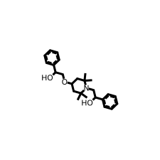 CC1(C)CC(OCC(O)c2ccccc2)CC(C)(C)N1CC(O)c1ccccc1